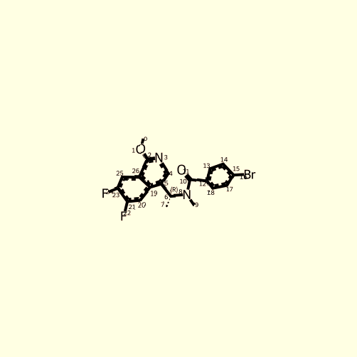 COc1ncc([C@@H](C)N(C)C(=O)c2ccc(Br)cc2)c2cc(F)c(F)cc12